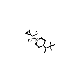 CC(C1CCN(S(=O)(=O)C2CC2)CC1)C(C)(C)C